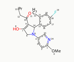 COc1ccc(N2CC(O)=C(C(=O)CC(C)C)C2c2ccc(F)cc2C)cn1